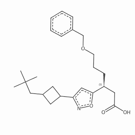 CC(C)(C)CC1CC(c2cc([C@@H](CCCOCc3ccccc3)CC(=O)O)on2)C1